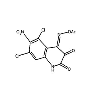 CC(=O)ON=C1C(=O)C(=O)Nc2cc(Cl)c([N+](=O)[O-])c(Cl)c21